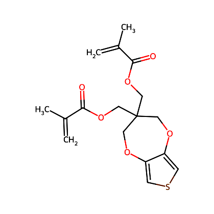 C=C(C)C(=O)OCC1(COC(=O)C(=C)C)COc2cscc2OC1